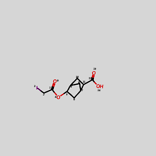 O=C(CI)OC1CC2CC1CC2C(=O)O